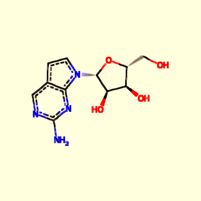 Nc1ncc2ccn([C@@H]3O[C@H](CO)[C@@H](O)[C@H]3O)c2n1